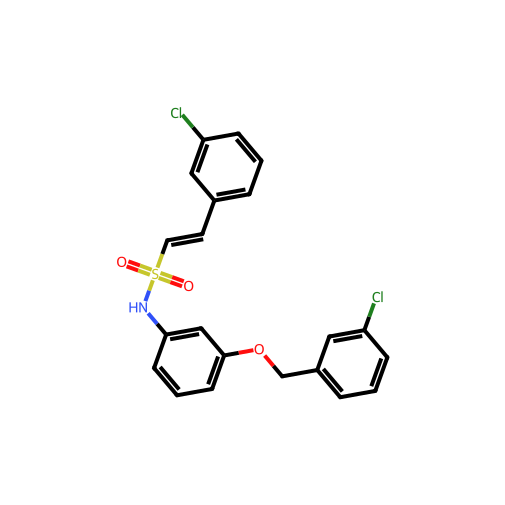 O=S(=O)(C=Cc1cccc(Cl)c1)Nc1cccc(OCc2cccc(Cl)c2)c1